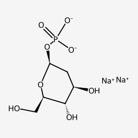 O=P([O-])([O-])O[C@H]1C[C@@H](O)[C@H](O)[C@@H](CO)O1.[Na+].[Na+]